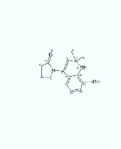 CC1(C)C=C(N2CCCC2=O)c2cccc(Cl)c2N1